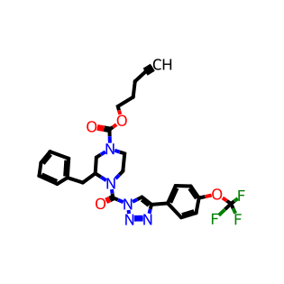 C#CCCCOC(=O)N1CCN(C(=O)n2cc(-c3ccc(OC(F)(F)F)cc3)nn2)C(Cc2ccccc2)C1